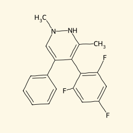 CC1=C(c2c(F)cc(F)cc2F)C(c2ccccc2)=CN(C)N1